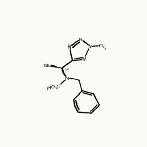 Cn1nnc([C@@H](N(Cc2ccccc2)C(=O)O)C(C)(C)C)n1